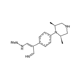 CNN/C=C(\C=N)c1ccc(N2[C@H](C)CNC[C@@H]2C)cc1